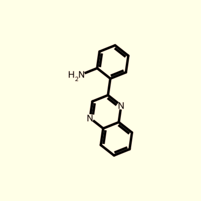 Nc1ccccc1-c1cnc2ccccc2n1